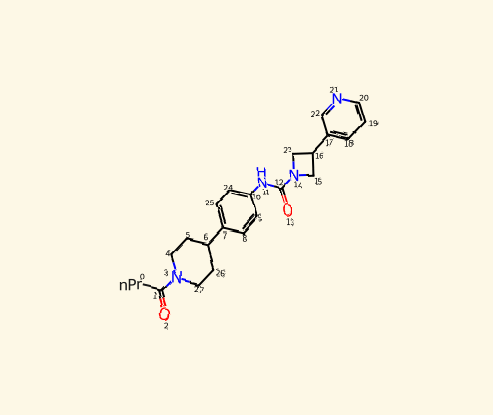 CCCC(=O)N1CCC(c2ccc(NC(=O)N3CC(c4cccnc4)C3)cc2)CC1